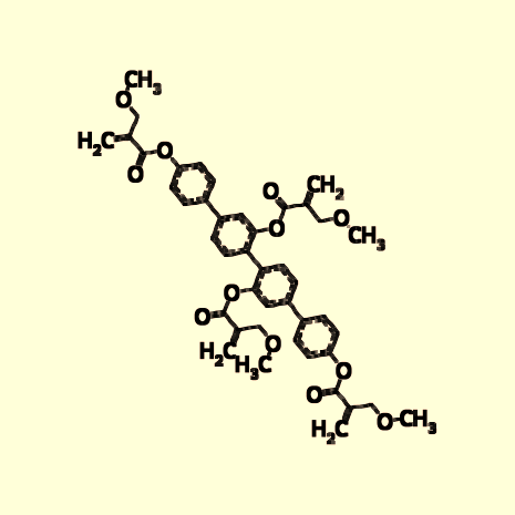 C=C(COC)C(=O)Oc1ccc(-c2ccc(-c3ccc(-c4ccc(OC(=O)C(=C)COC)cc4)cc3OC(=O)C(=C)COC)c(OC(=O)C(=C)COC)c2)cc1